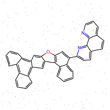 c1cnc2c(c1)ccc1ccc(-c3cc4oc5cc6c7ccccc7c7ccccc7c6cc5c4c4ccccc34)nc12